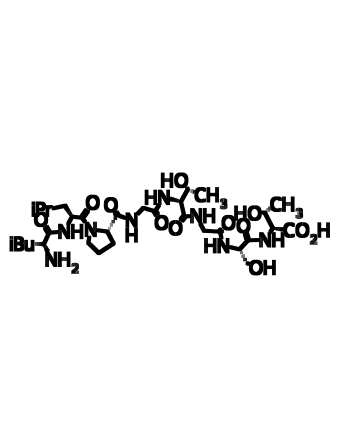 CC[C@H](C)[C@H](N)C(=O)N[C@@H](CC(C)C)C(=O)N1CCC[C@H]1C(=O)NCC(=O)N[C@H](C(=O)NCC(=O)N[C@@H](CO)C(=O)N[C@H](C(=O)O)[C@@H](C)O)[C@@H](C)O